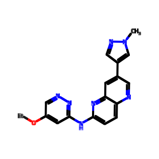 CCOc1cnnc(Nc2ccc3ncc(-c4cnn(C)c4)cc3n2)c1